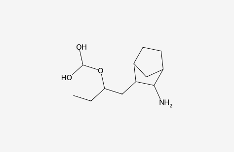 CCC(CC1C2CCC(C2)C1N)OC(O)O